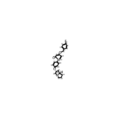 O=c1cc(OCc2ccc(F)cc2)ccn1-c1ccc(O[C@@H]2C[C@H]3CCCN3C2)cc1